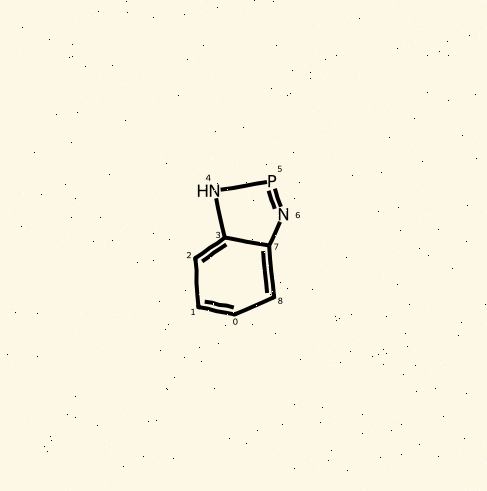 c1ccc2[nH]pnc2c1